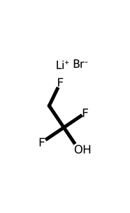 OC(F)(F)CF.[Br-].[Li+]